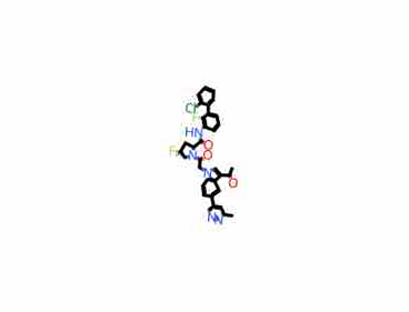 CC(=O)c1cn(CC(=O)N2C[C@H](F)CC2C(=O)Nc2cccc(-c3ccccc3Cl)c2F)c2ccc(-c3cnnc(C)c3)cc12